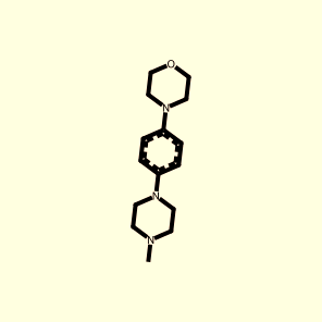 CN1CCN(c2ccc(N3CCOCC3)cc2)CC1